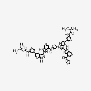 CC(C)CC(=O)Nc1cncc(-c2cnc3[nH]nc(-c4nc5c(C(=O)N6CCC(n7nc(-c8nc9c(C(=O)N%10CCCC%10)cncc9[nH]8)c8cc(-c9cncc(NC(=O)C(C)C)c9)cnc87)C6)cncc5[nH]4)c3c2)c1